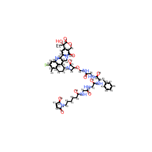 CC[C@@]1(O)C(=O)OCc2c1cc1n(c2=O)Cc2c-1nc1cc(F)c(C)c3c1c2[C@@H](N1CC(OCNC(=O)CNC(=O)[C@H](Cc2ccccc2)NC(=O)CNC(=O)CNC(=O)CCCCCN2C(=O)C=CC2=O)C1=O)CC3